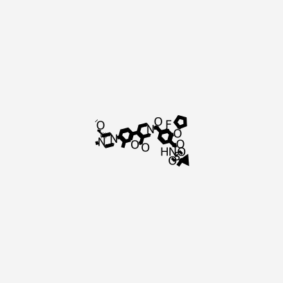 COC[C@H]1CN(c2ccc3c4c(c(=O)oc3c2C)CN(C(=O)c2ccc(C(=O)NS(=O)(=O)C3(C)CC3)c(OC3CCCC3)c2F)CC4)CCN1C